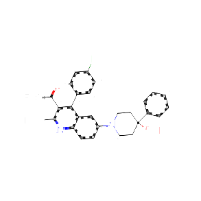 Cc1nc2ccc(N3CCC(O)(c4ccccc4)CC3)cc2c(-c2ccc(F)cc2)c1C(=O)C(F)(F)F